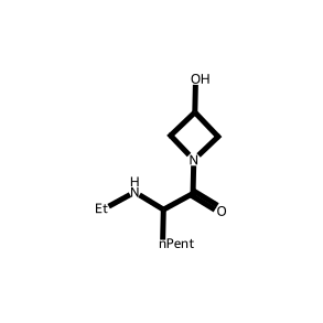 CCCCCC(NCC)C(=O)N1CC(O)C1